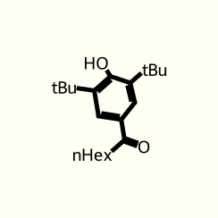 [CH2]CCCCCC(=O)c1cc(C(C)(C)C)c(O)c(C(C)(C)C)c1